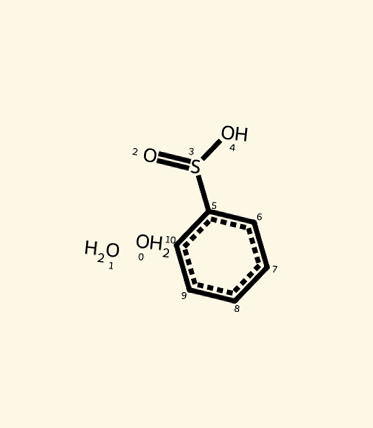 O.O.O=S(O)c1ccccc1